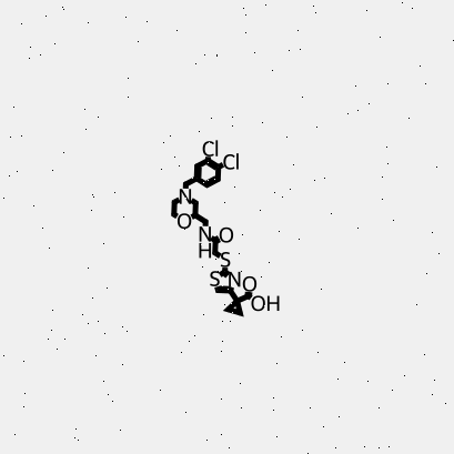 O=C(CSc1nc(C2(C(=O)O)CC2)cs1)NCC1CN(Cc2ccc(Cl)c(Cl)c2)CCO1